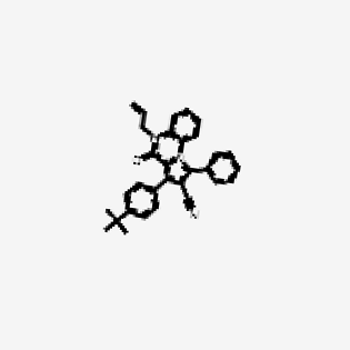 C=CCn1c(=O)c2c(-c3ccc(C(C)(C)C)cc3)c(C#N)c(-c3ccccc3)n2c2ccccc21